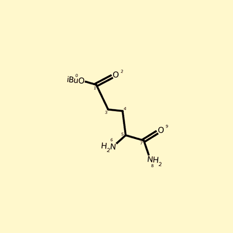 CC(C)COC(=O)CCC(N)C(N)=O